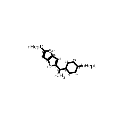 CCCCCCCc1cc2sc(C(C)C3CCC(CCCCCCC)CC3)cc2s1